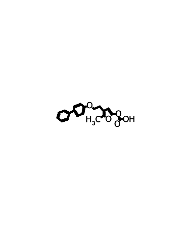 Cc1oc(OC(=O)O)cc1CCOc1ccc(-c2ccccc2)cc1